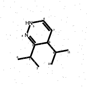 CC(C)C1=NNC=CC1C(C)C